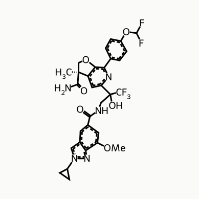 COc1cc(C(=O)NCC(O)(c2cc3c(c(-c4ccc(OC(F)F)cc4)n2)OC[C@]3(C)C(N)=O)C(F)(F)F)cc2cn(C3CC3)nc12